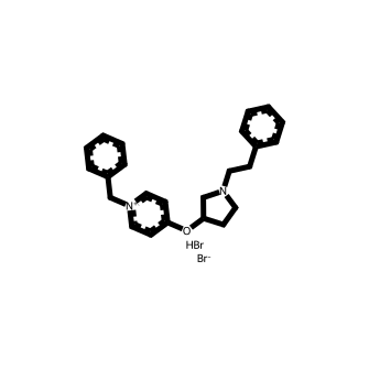 Br.[Br-].c1ccc(CCN2CCC(Oc3cc[n+](Cc4ccccc4)cc3)C2)cc1